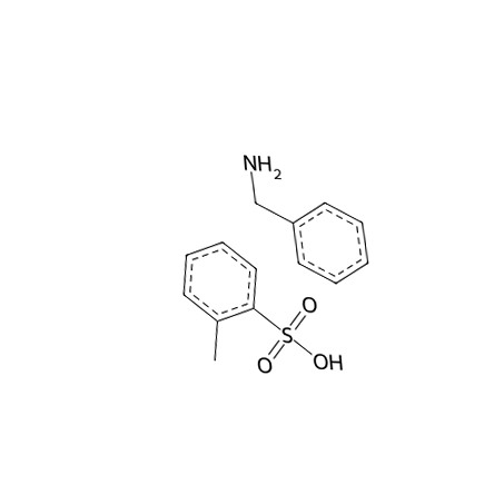 Cc1ccccc1S(=O)(=O)O.NCc1ccccc1